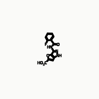 O=C(O)c1cc2[nH]nc(NC(=O)c3ccccc3F)c2o1